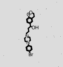 OC(CCCN1CCN(c2ccc(Br)cc2)CC1)c1ccc2c(c1)CCOO2